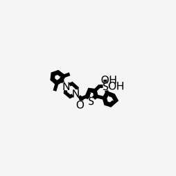 Cc1cccc(C)c1N1CCN(C(=O)c2cc3c(s2)-c2ccccc2S(O)(O)C3)CC1